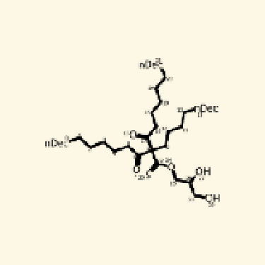 CCCCCCCCCCCCCCCC(=O)C(CCCCCCCCCCCCCC)(C(=O)CCCCCCCCCCCCCCC)C(=S)OCC(O)CO